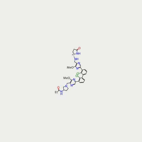 CCC(=O)NC1CCN(Cc2ncc(-c3cccc(-c4cccc(-c5cnc(CNC[C@@H]6CCC(=O)N6)c(OC)n5)c4Cl)c3Cl)nc2OC)C1